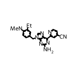 CCc1cc(Cn2cnc3c(-c4cc(C#N)ccn4)nc(N)nc32)ccc1NC